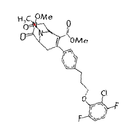 COC(=O)C1=C(c2ccc(CCCOc3c(F)ccc(F)c3Cl)cc2)CC2C(=O)N(C)CC1N2C(=O)OC